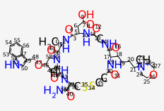 C[C@@H]1NC(=O)C(CC(=O)O)NC(=O)CNC(=O)C(CCCC[N+]2(C)CCOCC2)NC(=O)CCSSC[C@@H](C(N)=O)NC(=O)[C@@H]2CC(OCc3c[nH]c4ccccc34)CN2C1=O